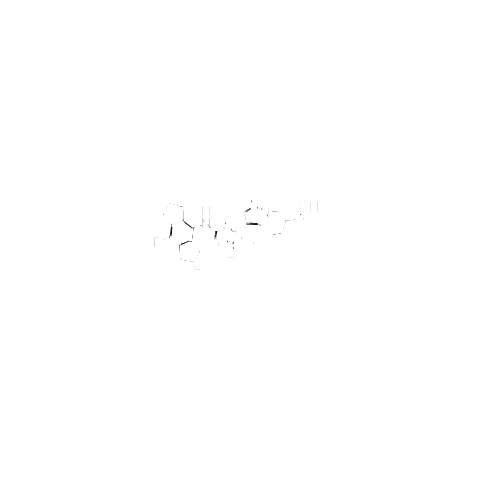 COC1COc2c(S(N)(=O)=NC(=O)Nc3c4c(c(F)c5c3C[C@@H](F)C5)CCC4)cnn2C1